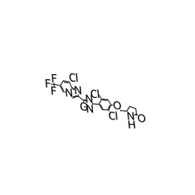 O=C1CCC(COc2cc(Cl)c(-c3noc(-c4cn5cc(C(F)(F)F)cc(Cl)c5n4)n3)cc2Cl)N1